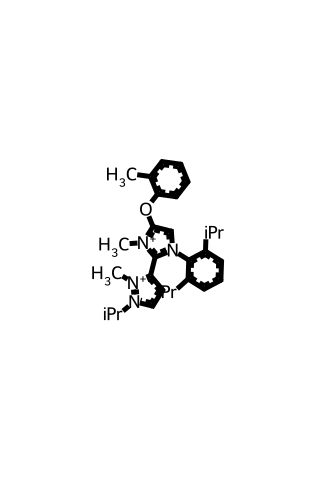 Cc1ccccc1Oc1cn(-c2c(C(C)C)cccc2C(C)C)c(-c2ccn(C(C)C)[n+]2C)[n+]1C